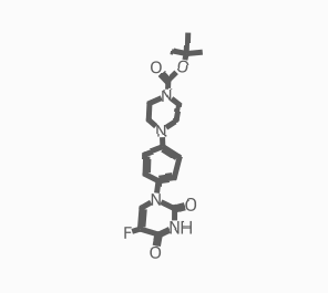 CC(C)(C)OC(=O)N1CCN(c2ccc(-n3cc(F)c(=O)[nH]c3=O)cc2)CC1